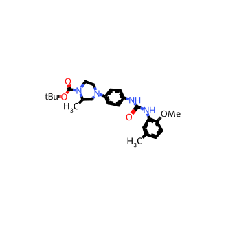 COc1ccc(C)cc1NC(=O)Nc1ccc(N2CCN(C(=O)OC(C)(C)C)C(C)C2)cc1